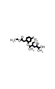 CCOC(=O)Cc1ccc(F)cc1OC(C)/C(=C/C(Br)=C(\C)O)CC